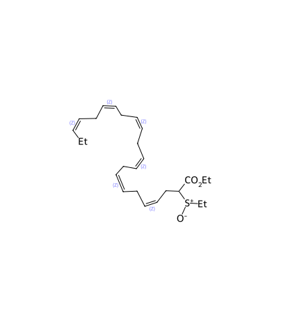 CC/C=C\C/C=C\C/C=C\C/C=C\C/C=C\C/C=C\CC(C(=O)OCC)[S+]([O-])CC